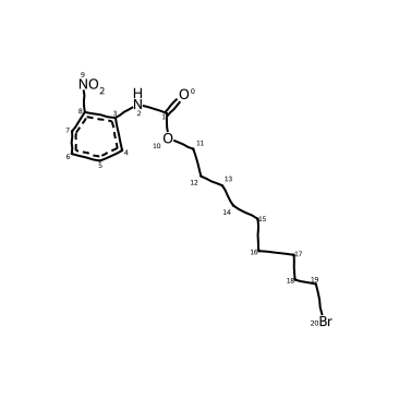 O=C(Nc1ccccc1[N+](=O)[O-])OCCCCCCCCCBr